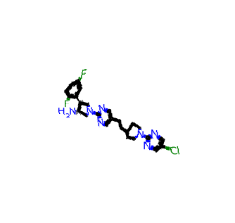 N[C@H]1CN(c2ncc(CCC3CCN(c4ncc(Cl)cn4)CC3)cn2)C[C@@H]1c1cc(F)ccc1F